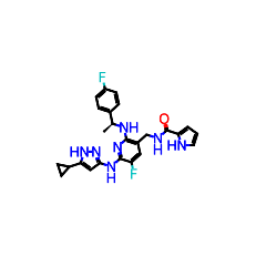 C[C@H](Nc1nc(Nc2cc(C3CC3)[nH]n2)c(F)cc1CNC(=O)c1ccc[nH]1)c1ccc(F)cc1